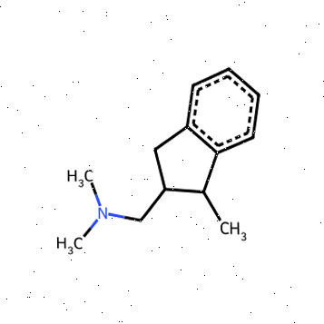 CC1c2ccccc2CC1CN(C)C